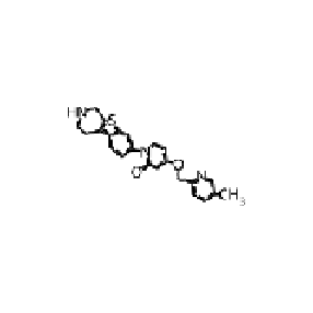 Cc1ccc(COc2ccn(-c3ccc4c5c(sc4c3)CNCC5)c(=O)c2)nc1